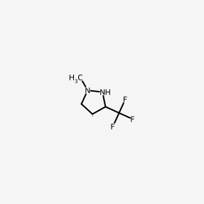 CN1C[CH]C(C(F)(F)F)N1